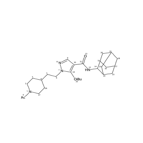 CC(=O)N1CCC(CCn2ncc(C(=O)NC3C4CC5CC(C4)CC3C5)c2OCC(C)C)CC1